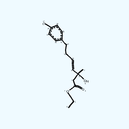 CCOC(=O)CC(C)(O)C=CCCc1ccc(Cl)cc1